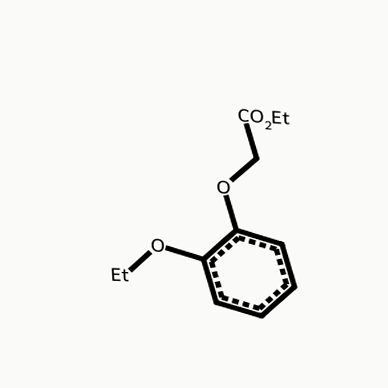 CCOC(=O)COc1ccccc1OCC